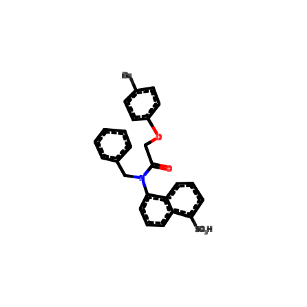 CCC(C)c1ccc(OCC(=O)N(Cc2ccccc2)c2cccc3c(S(=O)(=O)O)cccc23)cc1